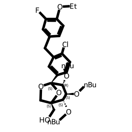 CCCCO[C@@H]1[C@@H](OCCCC)[C@@]2(c3ccc(Cl)c(Cc4ccc(OCC)c(F)c4)c3)OC[C@](CO)(O2)[C@H]1OCCCC